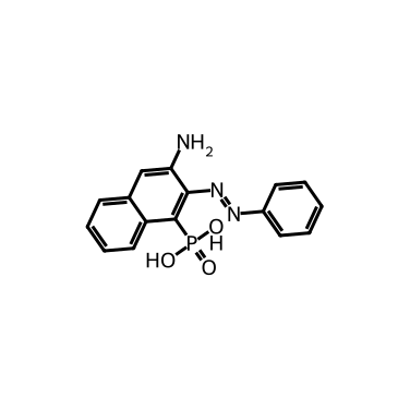 Nc1cc2ccccc2c(P(=O)(O)O)c1N=Nc1ccccc1